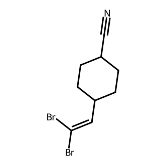 N#CC1CCC(C=C(Br)Br)CC1